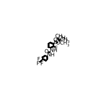 CC1(C)OB(c2cccc(NC(=O)Nc3ccc(C(F)(F)F)cc3)c2F)OC1(C)C